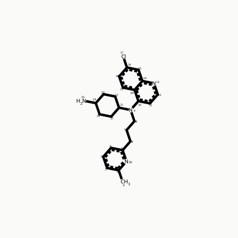 Cc1cccc(CCCN(c2ccnc3cc(Cl)ccc23)C2CCC(N)CC2)n1